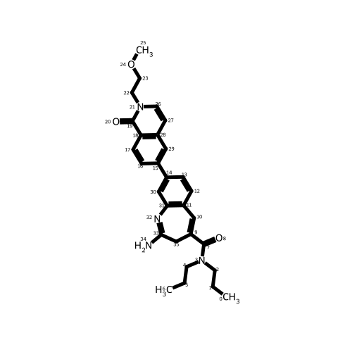 CCCN(CCC)C(=O)C1=Cc2ccc(-c3ccc4c(=O)n(CCOC)ccc4c3)cc2N=C(N)C1